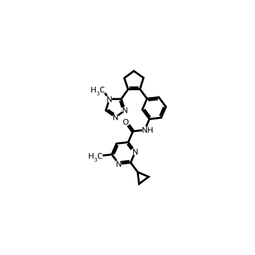 Cc1cc(C(=O)Nc2cccc(C3=C(c4nncn4C)CCC3)c2)nc(C2CC2)n1